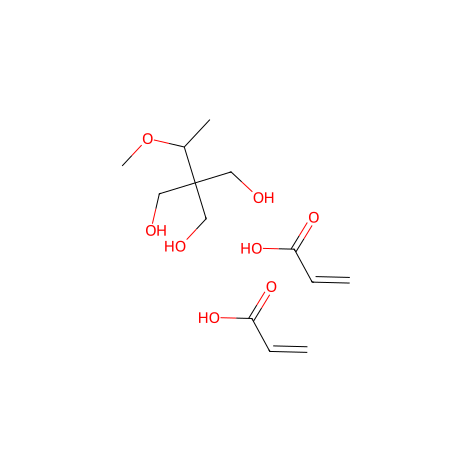 C=CC(=O)O.C=CC(=O)O.COC(C)C(CO)(CO)CO